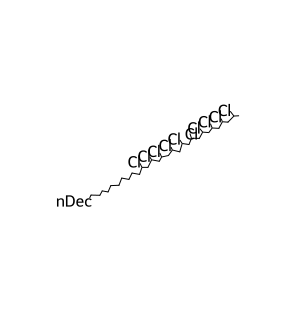 CCCCCCCCCCCCCCCCCCCCC(Cl)CC(Cl)CC(Cl)CC(Cl)CC(Cl)CC(Cl)CC(Cl)CC(Cl)CC(Cl)CC(C)Cl